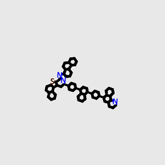 c1ccc2c(c1)ccc1c2ccc2c1nc1c3sc4ccc5ccccc5c4c3cc(-c3ccc(-c4ccc(-c5ccc(-c6cc7cccnc7c7ccccc67)cc5)c5ccccc45)cc3)n21